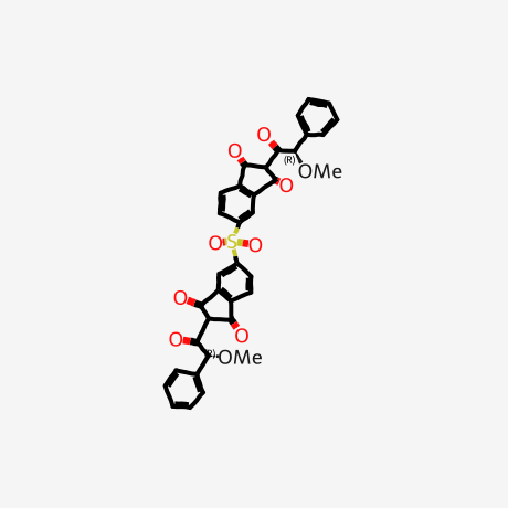 CO[C@@H](C(=O)C1C(=O)c2ccc(S(=O)(=O)c3ccc4c(c3)C(=O)C(C(=O)[C@H](OC)c3ccccc3)C4=O)cc2C1=O)c1ccccc1